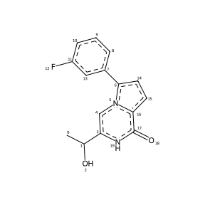 CC(O)c1cn2c(-c3cccc(F)c3)ccc2c(=O)[nH]1